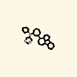 C1=CC(C2=CC(N(c3ccccc3)c3cncnc3)=CCC=C2)c2cccc3c2C(=C1)c1ccccc1-3